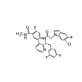 CNC(=O)c1cc(-c2cccnc2[C@H](Cc2cc(F)cc(F)c2)NC(=O)Cn2ccc3cc(F)c(Cl)cc32)ccc1F